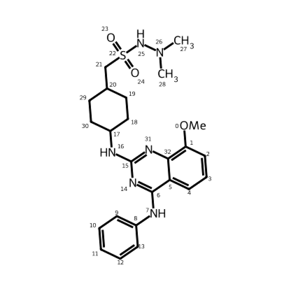 COc1cccc2c(Nc3ccccc3)nc(NC3CCC(CS(=O)(=O)NN(C)C)CC3)nc12